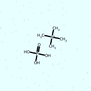 C[N+](C)(C)C.O=P(O)(O)O